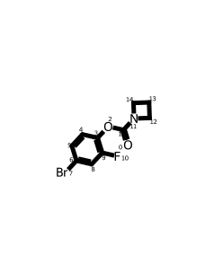 O=C(Oc1ccc(Br)cc1F)N1CCC1